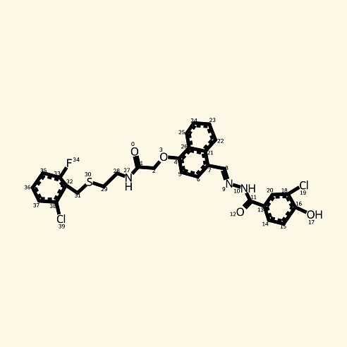 O=C(COc1ccc(/C=N/NC(=O)c2ccc(O)c(Cl)c2)c2ccccc12)NCCSCc1c(F)cccc1Cl